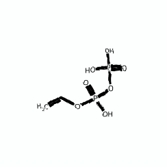 C=COP(=O)(O)OP(=O)(O)O